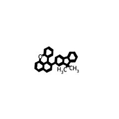 CC1(C)c2ccccc2-c2ccc(-c3ccc4cccc5c4c3-c3ccccc3O5)cc21